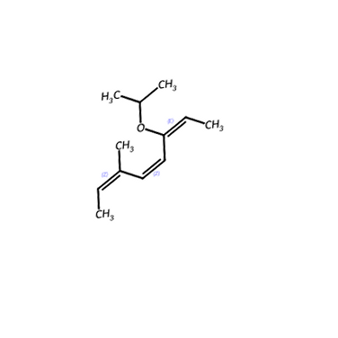 C\C=C(C)/C=C\C(=C/C)OC(C)C